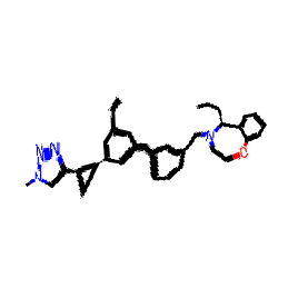 C[CH]c1cc(-c2cccc(CN3CCOc4ccccc4[C@@H]3CC)c2)cc([C@@H]2C[C@H]2c2cn(C)nn2)c1